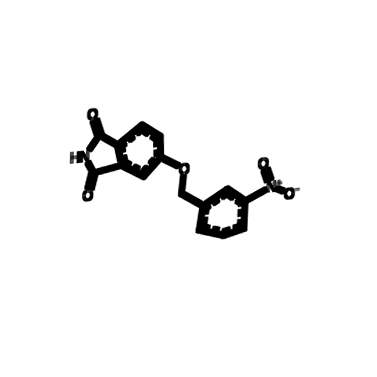 O=C1NC(=O)c2cc(OCc3cccc([N+](=O)[O-])c3)ccc21